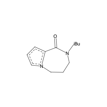 CCC(C)N1CCCn2cccc2C1=O